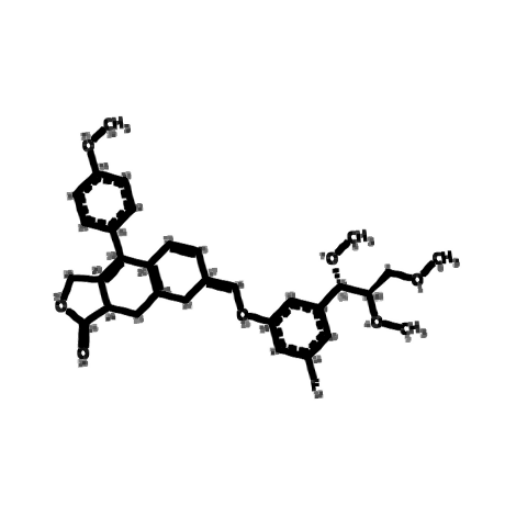 COC[C@@H](OC)[C@@H](OC)c1cc(F)cc(OC=C2C=CC3=C(C2)CC2C(=O)OCC2=C3c2ccc(OC)cc2)c1